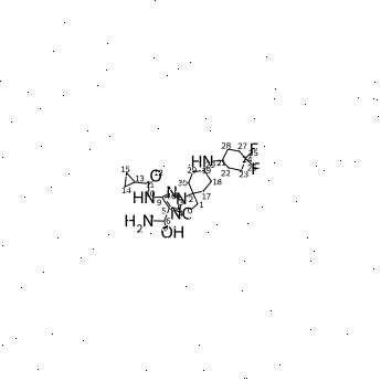 N#CCC1(n2cc(C(N)O)c(NC(=O)C3CC3)n2)CCC(NC2CCC(F)(F)CC2)CC1